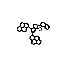 c1ccc2c(c1)ccc1c3ccc4c(-c5ccc6ccc7cccc8ccc5c6c78)cc(-c5ccc6ccc7cccc8ccc5c6c78)cc4c3oc21